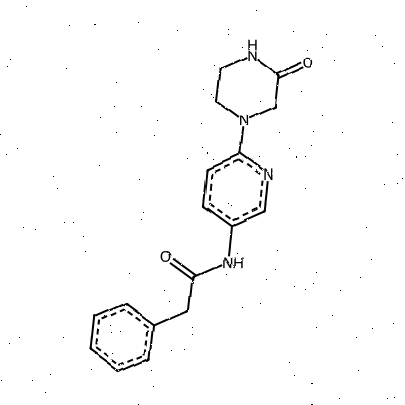 O=C1CN(c2ccc(NC(=O)Cc3ccccc3)cn2)CCN1